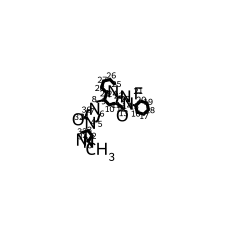 Cn1cc(N2CCN(Cc3cc4c(=O)n(-c5ccccc5F)nc-4n4ccccc34)CC2=O)cn1